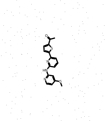 COc1ccnc(Nc2cccc(-c3ccc(C(C)=O)s3)n2)c1